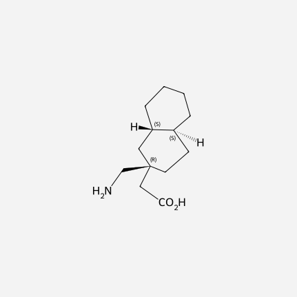 NC[C@]1(CC(=O)O)CC[C@@H]2CCCC[C@H]2C1